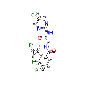 O=C(CN1C[C@@]2(C[C@@H]2F)c2c(ccc(Br)c2F)C1=O)Nc1ncc(Cl)cn1